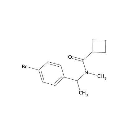 CC(c1ccc(Br)cc1)N(C)C(=O)C1CCC1